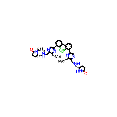 COc1nc(-c2cccc(-c3cccc(-c4cnc(CNC[C@@H]5CCC(=O)N5C)c(OC)n4)c3Cl)c2Cl)cnc1CNC[C@@H]1CCC(=O)N1